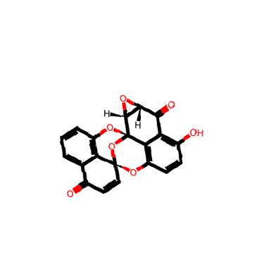 O=C1C=C[C@]23Oc4ccc(O)c5c4[C@](Oc4cccc1c42)(O3)[C@@H]1O[C@@H]1C5=O